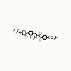 NC(Cc1ccc(N2CCN(CC(F)(F)F)CC2=O)cc1)C(=O)Nc1ccc(C(=O)O)cc1